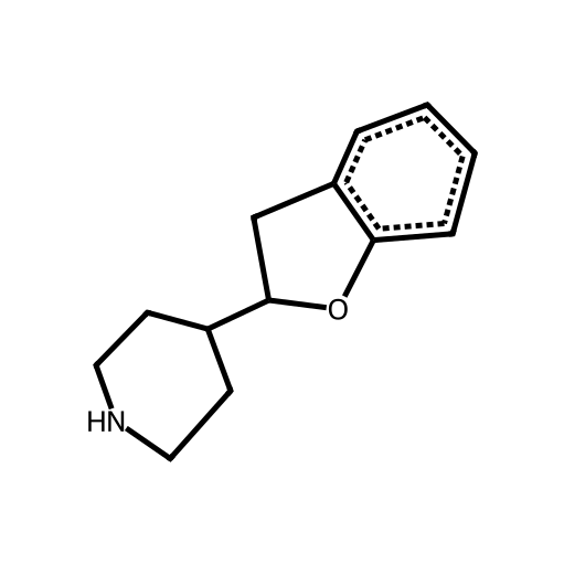 c1ccc2c(c1)CC(C1CCNCC1)O2